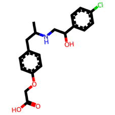 CC(Cc1ccc(OCC(=O)O)cc1)NCC(O)c1ccc(Cl)cc1